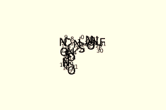 Cc1nc(CN(c2cccnc2)S(=O)(=O)CN2CC3CC2CO3)sc1-c1nnc(C(C)F)o1